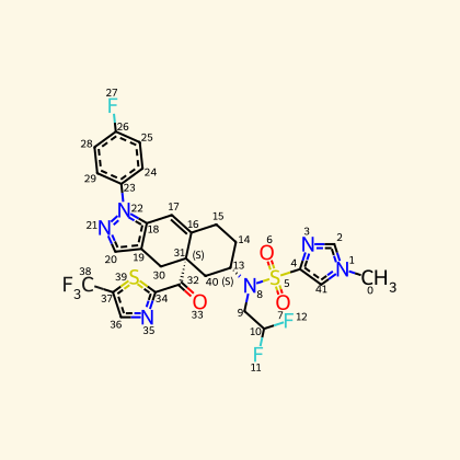 Cn1cnc(S(=O)(=O)N(CC(F)F)[C@H]2CCC3=Cc4c(cnn4-c4ccc(F)cc4)C[C@]3(C(=O)c3ncc(C(F)(F)F)s3)C2)c1